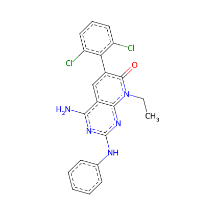 CCn1c(=O)c(-c2c(Cl)cccc2Cl)cc2c(N)nc(Nc3ccccc3)nc21